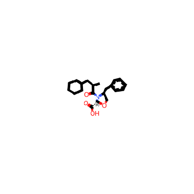 CC(CC1CCCCC1)C(=O)N1C(Cc2ccccc2)CO[C@@H]1C(=O)O